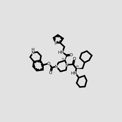 O=C(NCc1cccs1)[C@@H]1CN(C(=O)Oc2cccc3c2CCNC3)CCN1C(=O)[C@@H](CC1CCCCC1)NC1CCCCC1